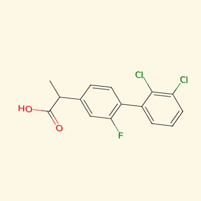 CC(C(=O)O)c1ccc(-c2cccc(Cl)c2Cl)c(F)c1